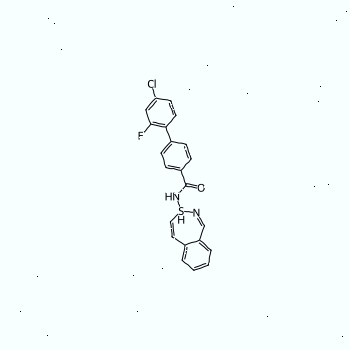 O=C(N[SH]1C=Cc2ccccc2C=N1)c1ccc(-c2ccc(Cl)cc2F)cc1